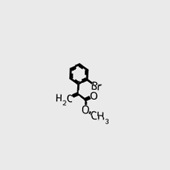 C=C(C(=O)OC)c1ccccc1Br